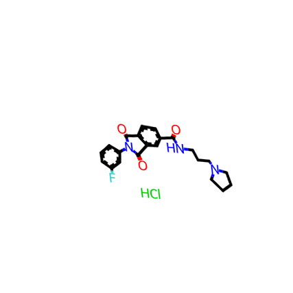 Cl.O=C(NCCCN1CCCC1)c1ccc2c(c1)C(=O)N(c1cccc(F)c1)C2=O